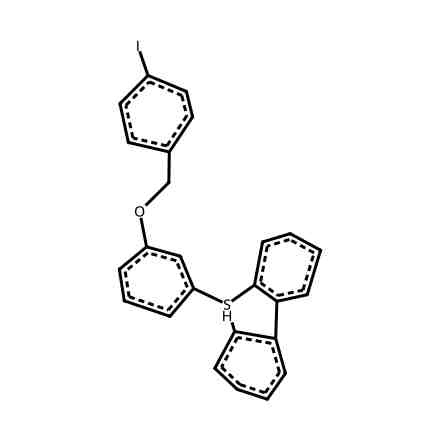 Ic1ccc(COc2cccc([SH]3c4ccccc4-c4ccccc43)c2)cc1